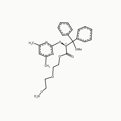 COC(c1ccccc1)(c1ccccc1)[C@H](Oc1nc(C)cc(C)n1)C(=O)OCCOCCO[N+](=O)[O-]